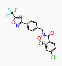 CON(Cc1ccc(-c2noc(C(F)(F)F)n2)cc1)C(=O)c1ccc(Cl)cc1